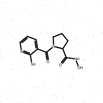 O=C(NO)C1CCCN1C(=O)c1cccnc1S